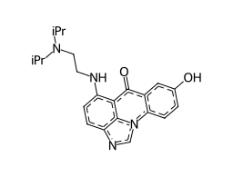 CC(C)N(CCNc1ccc2ncn3c4ccc(O)cc4c(=O)c1c23)C(C)C